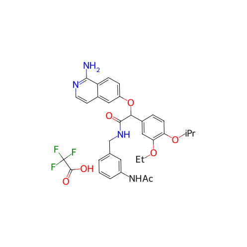 CCOc1cc(C(Oc2ccc3c(N)nccc3c2)C(=O)NCc2cccc(NC(C)=O)c2)ccc1OC(C)C.O=C(O)C(F)(F)F